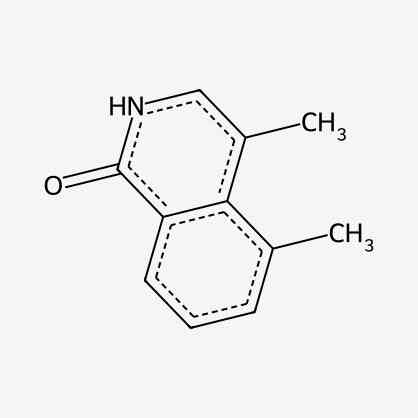 Cc1cccc2c(=O)[nH]cc(C)c12